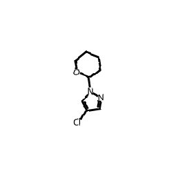 Clc1cnn(C2CCCCO2)c1